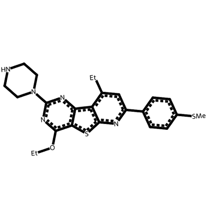 CCOc1nc(N2CCNCC2)nc2c1sc1nc(-c3ccc(SC)cc3)cc(CC)c12